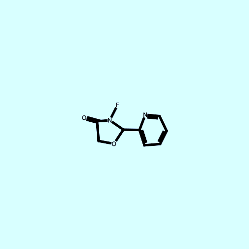 O=C1CO[C](c2ccccn2)N1F